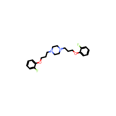 Fc1ccccc1OCCCN1CCN(CCCOc2ccccc2F)CC1